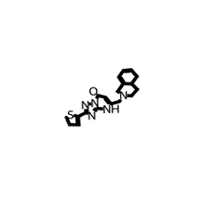 O=c1cc(CN2CCC3CC=CC=C3C2)[nH]c2nc(C3=CCCS3)nn12